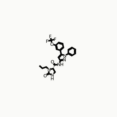 CCCN1C(=O)NC[C@H]1C(=O)Nc1cc(-c2cccc(OC(F)(F)F)c2)n(-c2ccccc2)n1